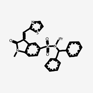 CC(C)N(C(c1ccccc1)c1ccccc1)S(=O)(=O)c1ccc2c(c1)/C(=C\c1nccs1)C(=O)N2C